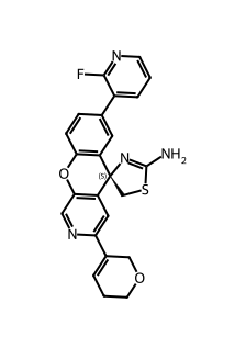 NC1=N[C@@]2(CS1)c1cc(-c3cccnc3F)ccc1Oc1cnc(C3=CCCOC3)cc12